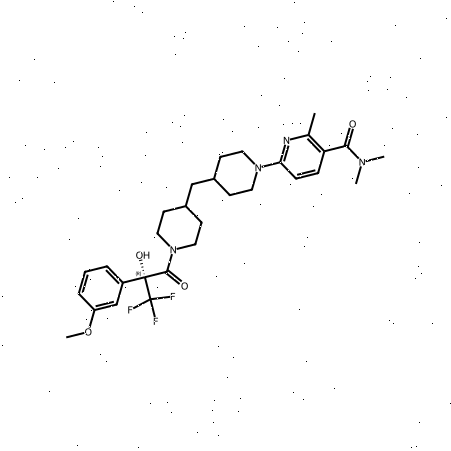 COc1cccc([C@@](O)(C(=O)N2CCC(CC3CCN(c4ccc(C(=O)N(C)C)c(C)n4)CC3)CC2)C(F)(F)F)c1